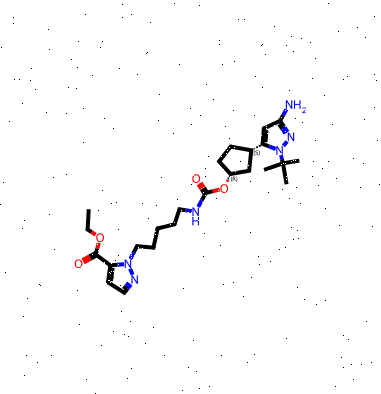 CCOC(=O)c1ccnn1CCCCCNC(=O)O[C@@H]1CC[C@H](c2cc(N)nn2C(C)(C)C)C1